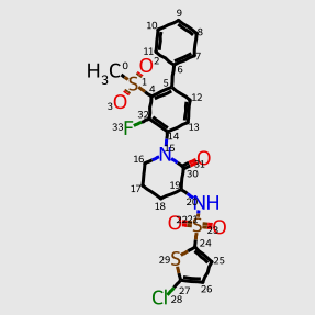 CS(=O)(=O)c1c(-c2ccccc2)ccc(N2CCCC(NS(=O)(=O)c3ccc(Cl)s3)C2=O)c1F